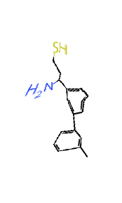 Cc1cccc(-c2cccc(C(N)CCS)c2)c1